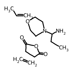 C=C.C=CC.CCC(N)N1CCOCC1.O=C1CCC(=O)O1